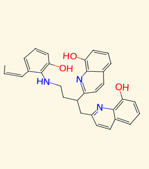 C/C=C\c1cccc(O)c1NCCC(Cc1ccc2cccc(O)c2n1)c1ccc2cccc(O)c2n1